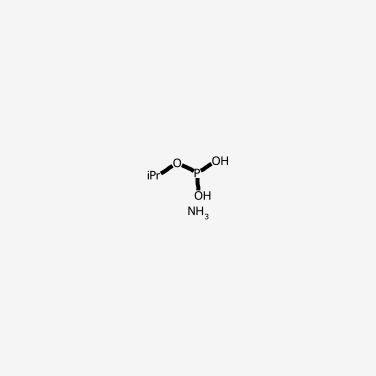 CC(C)OP(O)O.N